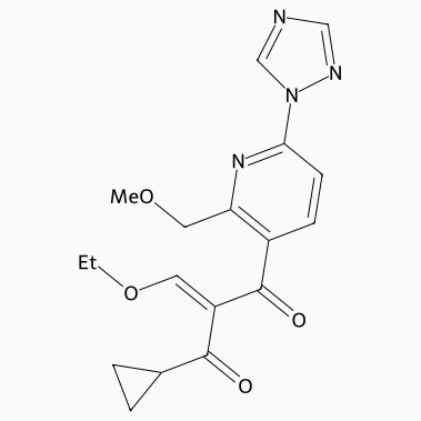 CCO/C=C(/C(=O)c1ccc(-n2cncn2)nc1COC)C(=O)C1CC1